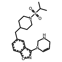 CC(C)S(=O)(=O)N1CCC(Cc2ccc3onc(N4C=CCNC4)c3c2)CC1